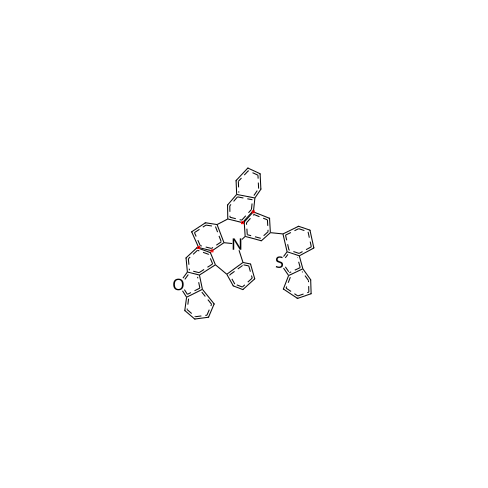 c1cc(-c2cccc3c2sc2ccccc23)cc(N(c2ccccc2-c2ccc3ccccc3c2)c2ccccc2-c2cccc3oc4ccccc4c23)c1